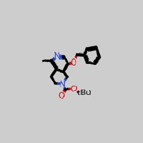 Cc1ncc(OCc2ccccc2)c2c1CCN(C(=O)OC(C)(C)C)C2